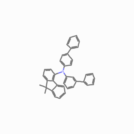 CC1(C)c2ccccc2-c2c(N(c3ccc(-c4ccccc4)cc3)c3cccc(-c4ccccc4)c3)cccc21